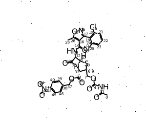 CC(=O)NC(=O)OC[C@]1(C)S[C@@H]2[C@H](NC(=O)c3c(-c4c(Cl)cccc4Cl)noc3C)C(=O)N2[C@H]1C(=O)OCc1ccc([N+](=O)[O-])cc1